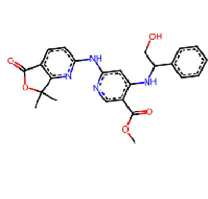 COC(=O)c1cnc(Nc2ccc3c(n2)C(C)(C)OC3=O)cc1NC(CO)c1ccccc1